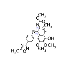 COC(=O)/N=C(SC)/C(=N/c1ccc(-c2noc(C)n2)cc1)c1cc(OC)c(OC)c(O)c1F